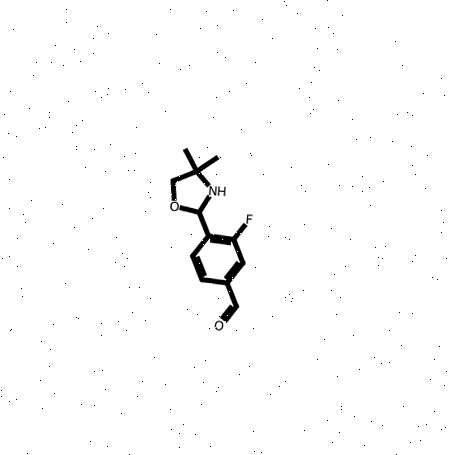 CC1(C)COC(c2ccc(C=O)cc2F)N1